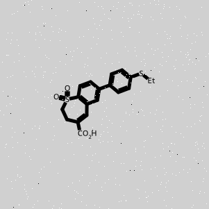 CCSc1ccc(-c2ccc3c(c2)C=C(C(=O)O)CCS3(=O)=O)cc1